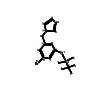 CC(C)(C)[Si](C)(C)Oc1cc(Br)cc(Cn2ccnc2)c1